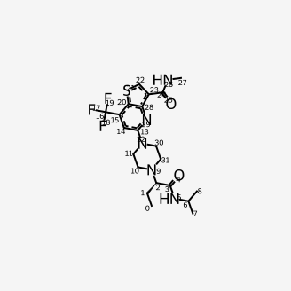 CC[C@H](C(=O)NC(C)C)N1CCN(c2cc(C(F)(F)F)c3scc(C(=O)NC)c3n2)CC1